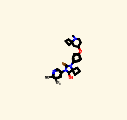 CN1CCC(Oc2ccc(N3C(=S)N(c4cnc(C#N)c(C(F)(F)F)c4)C(O)C34CCC4)cc2)CC12CCC2